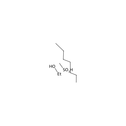 CCCCCCC.CCO.CS(=O)(=O)O